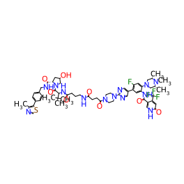 Cc1ncsc1-c1ccc(CNC(=O)[C@@H]2C[C@@H](O)CN2C(=O)C(NC(=O)CCCNC(=O)CCC(=O)N2CCN(c3ncc(-c4cc(NC(=O)c5c[nH]c(=O)cc5C(F)(F)F)c(N5C[C@@H](C)N(C)[C@@H](C)C5)cc4F)cn3)CC2)C(C)(C)C)cc1